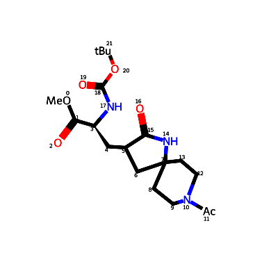 COC(=O)[C@H](CC1CC2(CCN(C(C)=O)CC2)NC1=O)NC(=O)OC(C)(C)C